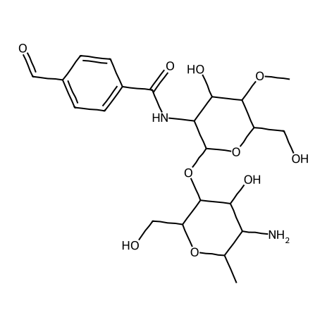 COC1C(CO)OC(OC2C(CO)OC(C)C(N)C2O)C(NC(=O)c2ccc(C=O)cc2)C1O